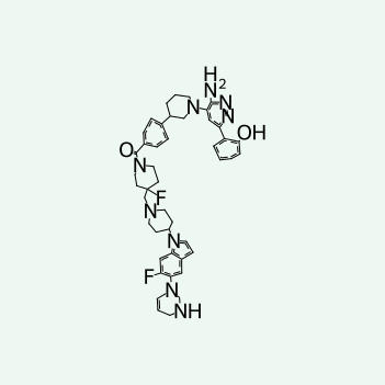 Nc1nnc(-c2ccccc2O)cc1N1CCCC(c2ccc(C(=O)N3CCC(F)(CN4CCC(n5ccc6cc(N7C=CCNC7)c(F)cc65)CC4)CC3)cc2)C1